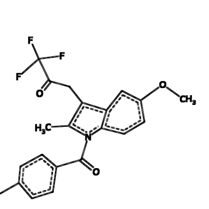 COc1ccc2c(c1)c(CC(=O)C(F)(F)F)c(C)n2C(=O)c1ccc(Cl)cc1